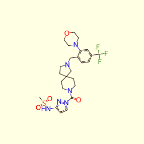 CS(=O)(=O)Nc1ccn(C(=O)N2CCC3(CCN(Cc4ccc(C(F)(F)F)cc4N4CCOCC4)C3)CC2)n1